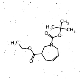 CCOC(=O)C1CC=CCN(C(=O)OC(C)(C)C)C1